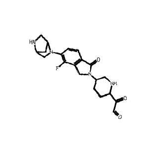 O=CC(=O)C1CCC(N2Cc3c(ccc(N4CC5CC4CN5)c3F)C2=O)CN1